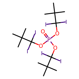 CC(C)(C)C(I)(I)OP(=O)(OC(I)(I)C(C)(C)C)OC(I)(I)C(C)(C)C